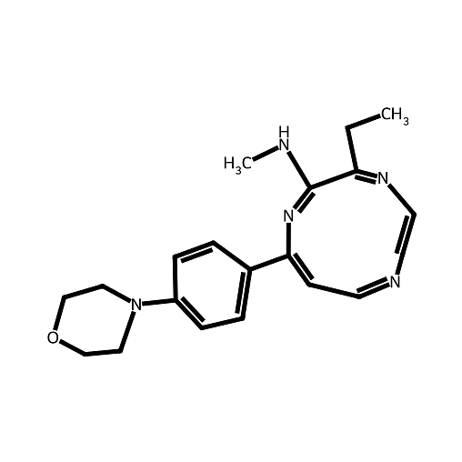 CCc1nccnccc(-c2ccc(N3CCOCC3)cc2)nc1NC